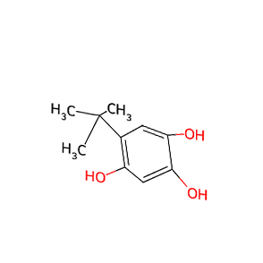 CC(C)(C)c1cc(O)c(O)cc1O